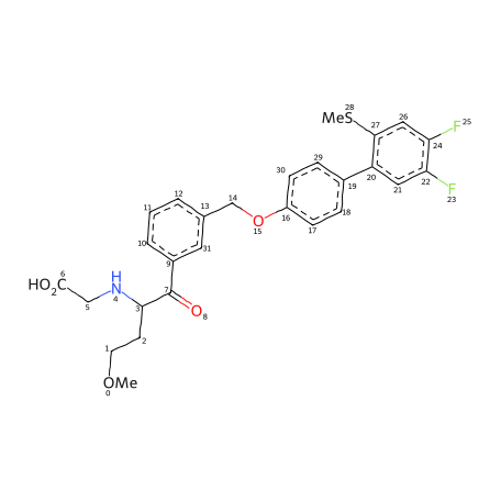 COCCC(NCC(=O)O)C(=O)c1cccc(COc2ccc(-c3cc(F)c(F)cc3SC)cc2)c1